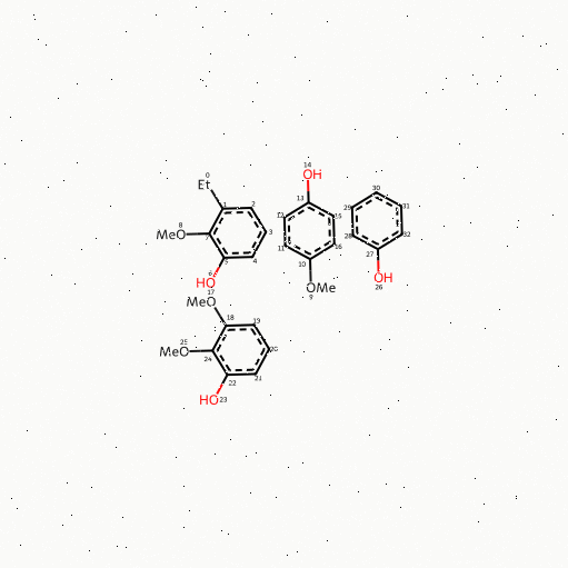 CCc1cccc(O)c1OC.COc1ccc(O)cc1.COc1cccc(O)c1OC.Oc1ccccc1